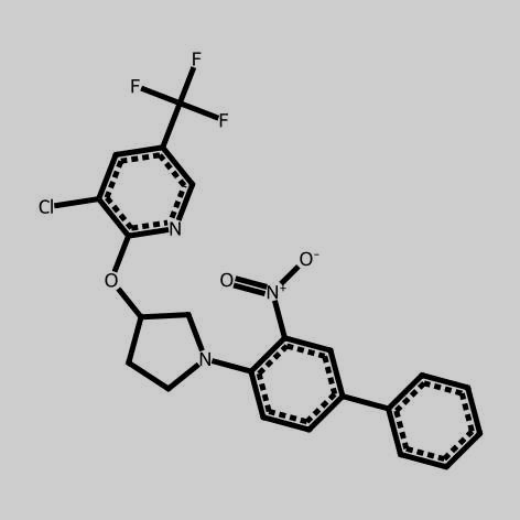 O=[N+]([O-])c1cc(-c2ccccc2)ccc1N1CCC(Oc2ncc(C(F)(F)F)cc2Cl)C1